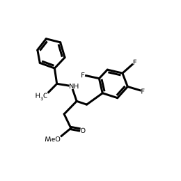 COC(=O)CC(Cc1cc(F)c(F)cc1F)NC(C)c1ccccc1